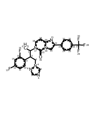 CC(C(Cn1cncn1)c1ccc(F)cc1F)n1ccc2nc(-c3ccc(C(F)(F)F)cc3)cn2c1=O